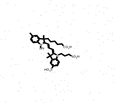 CCC[N+]1=C(/C=C/C=C2/N(CCCS(=O)(=O)O)c3ccc(S(=O)(=O)O)cc3C2(C)C)C(C)(CCCCCC(=O)O)c2cc(C)ccc21